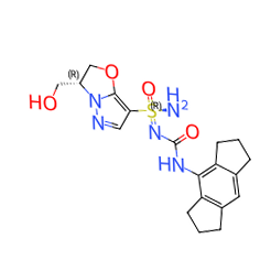 N[S@@](=O)(=NC(=O)Nc1c2c(cc3c1CCC3)CCC2)c1cnn2c1OC[C@H]2CO